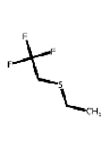 CCSCC(F)(F)F